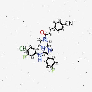 N#Cc1ccc(CCC(=O)N2CCn3c(nc(-c4ccc(F)cc4)c3Nc3ccc(Cl)c(F)c3)C2)cc1